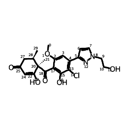 COc1cc(-c2ccn(CCO)n2)c(Cl)c(O)c1C(=O)[C@@]1(C)C(O)=CC(=O)C[C@H]1C